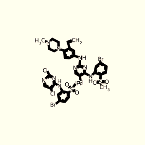 C=Cc1cc(Nc2ncc(Cl)c(Nc3cc(Br)ccc3S(C)(=O)=O)n2)ccc1N1CCN(C)CC1.CC(C)S(=O)(=O)c1ccc(Br)cc1Nc1nc(Cl)ncc1Cl